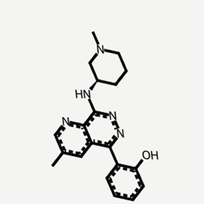 Cc1cnc2c(N[C@@H]3CCCN(C)C3)nnc(-c3ccccc3O)c2c1